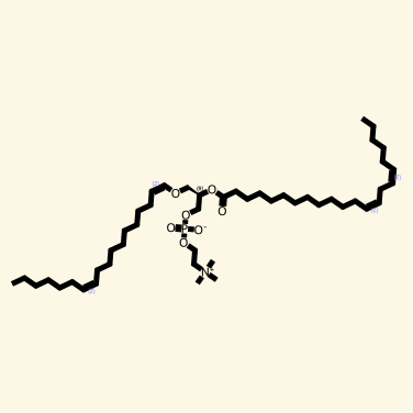 CCCCC/C=C\C/C=C\CCCCCCCCCCCC(=O)O[C@H](CO/C=C\CCCCCCCC/C=C\CCCCCC)COP(=O)([O-])OCC[N+](C)(C)C